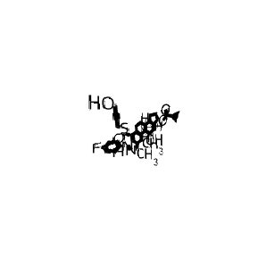 CC1=C2C(=C(C(=O)SCC#CCO)C3=C(C2C)[C@@H]2[C@@H](CC3)[C@@H]3CCC(OC(=O)C4CC4)[C@H]3C[C@@H]2O)N(c2ccc(F)cc2)N1